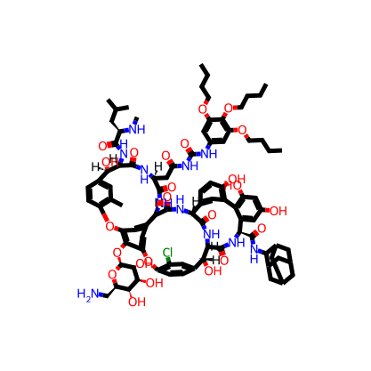 CCCCOc1cc(NC(=O)NC(=O)C[C@@H]2NC(=O)[C@H](NC(=O)[C@@H](CC(C)C)NC)[C@H](O)c3ccc(c(C)c3)Oc3cc4cc(c3O[C@@H]3O[C@H](CN)[C@@H](O)[C@H](O)[C@H]3O)Oc3ccc(cc3Cl)[C@@H](O)[C@@H]3NC(=O)[C@H](NC(=O)[C@@H]4NC2=O)c2ccc(O)c(c2)-c2c(O)cc(O)cc2[C@@H](C(=O)NC2C4CC5CC(C4)CC2C5)NC3=O)cc(OCCCC)c1OCCCC